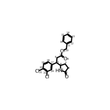 O=C1CCC(C(CC(=O)OCc2ccccc2)c2ccc(Cl)c(Cl)c2)N1